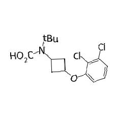 CC(C)(C)N(C(=O)O)C1CC(Oc2cccc(Cl)c2Cl)C1